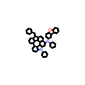 C(/c1ccccc1)=c1/c2cccc3c2-c2c1ccc1c(N(c4ccccc4)c4ccc5oc6ccccc6c5c4)cc4c(c21)c1c3cccc1n4-c1ccccc1